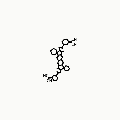 N#CC(C#N)=C1C=C(c2cc3c(s2)C2=CC4C=C5C(=CC4C=C2C32CCCCC2)c2sc(C3=CC(=C(C#N)C#N)CCC3)cc2C52CCCCC2)CCC1